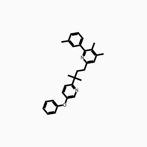 Cc1cccc(-c2nc(CCC(C)(C)c3ccc(Oc4ccccc4)cn3)cc(C)c2C)c1